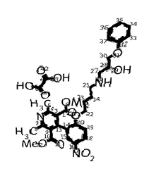 COC(=O)c1c(C)nc(C)c(C(=O)OC)c1-c1cc([N+](=O)[O-])ccc1OCCCCNC[C@@H](O)COc1ccccc1.O=C(O)C(=O)O